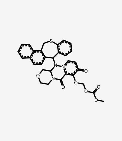 COC(=O)OCOc1c2n(ccc1=O)N(C1c3ccccc3SCc3c1ccc1ccccc31)C1COCCN1C2=O